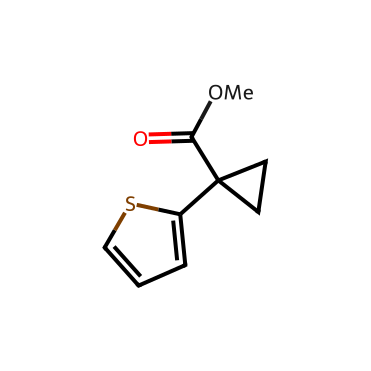 COC(=O)C1(c2cccs2)CC1